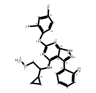 COCC(Nc1nc(Oc2ccc(F)cc2F)nc2[nH]nc(-c3ccccc3Cl)c12)C1CC1